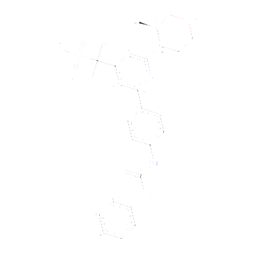 CCS(=O)(=O)C(C)(C)c1cc(N2CCOC[C@@H]2C)nc(-c2ccc(NC(=O)Oc3ccccc3)cc2)n1